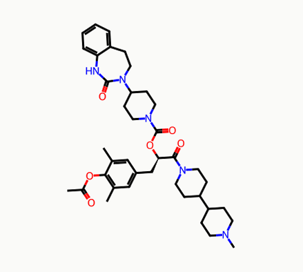 CC(=O)Oc1c(C)cc(C[C@@H](OC(=O)N2CCC(N3CCc4ccccc4NC3=O)CC2)C(=O)N2CCC(C3CCN(C)CC3)CC2)cc1C